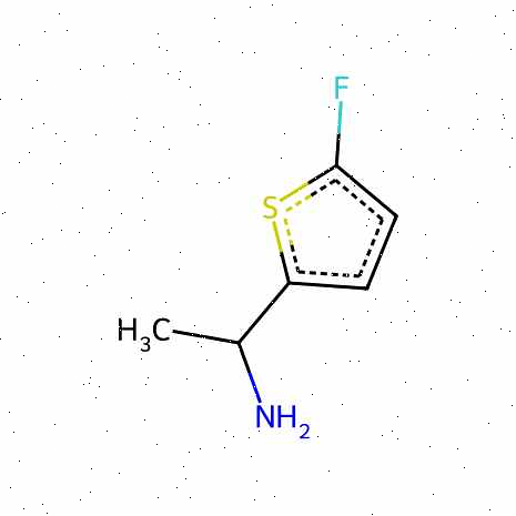 CC(N)c1ccc(F)s1